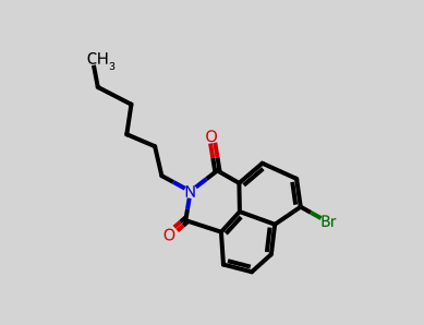 CCCCCCN1C(=O)c2cccc3c(Br)ccc(c23)C1=O